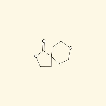 O=C1OCCC12CCSCC2